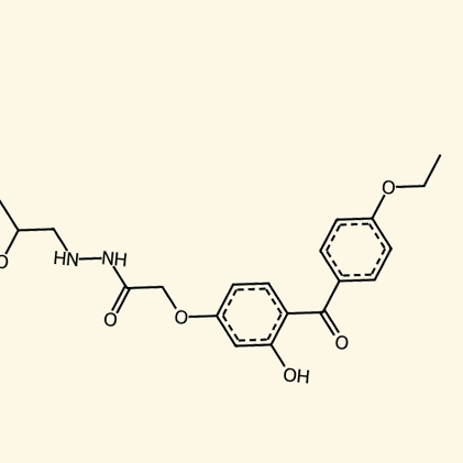 CCOc1ccc(C(=O)c2ccc(OCC(=O)NNCC(C)O)cc2O)cc1